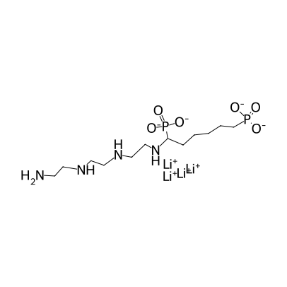 NCCNCCNCCNC(CCCCCP(=O)([O-])[O-])P(=O)([O-])[O-].[Li+].[Li+].[Li+].[Li+]